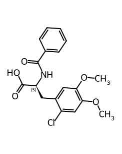 COc1cc(Cl)c(C[C@H](NC(=O)c2ccccc2)C(=O)O)cc1OC